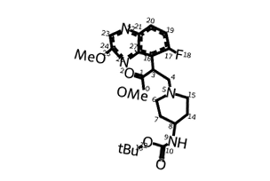 COC(=O)C(CN1CCC(NC(=O)OC(C)(C)C)CC1)c1c(F)ccc2ncc(OC)nc12